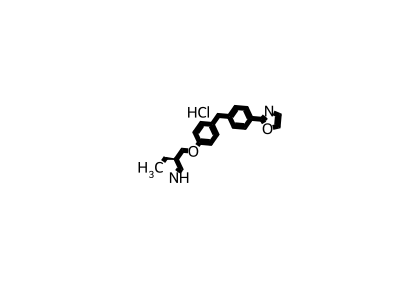 CC[C@H](C=N)COc1ccc(Cc2ccc(-c3ncco3)cc2)cc1.Cl